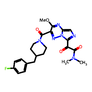 COc1nc2cnc(C(=O)C(=O)N(C)C)n2nc1C(=O)N1CCC(Cc2ccc(F)cc2)CC1